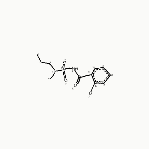 CCCN(C)S(=O)(=O)NC(=O)c1ccccc1Cl